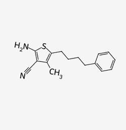 Cc1c(CCCCc2ccccc2)sc(N)c1C#N